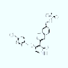 CS(=O)(=O)OCc1ccc2c(c1)CCC(c1c(OCc3ccc(Cl)nn3)cc[nH]c1=O)=C2